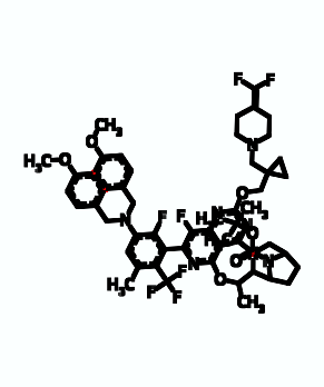 COc1ccc(CN(Cc2ccc(OC)cc2)c2cc(C)c(C(F)(F)F)c(-c3nc4c5c(nc(OCC6(CN7CCC(=C(F)F)CC7)CC6)nc5c3F)N3CC5CCC(C3C(C)O4)N5C(=O)OC(C)(C)C)c2F)cc1